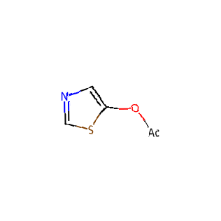 CC(=O)Oc1cncs1